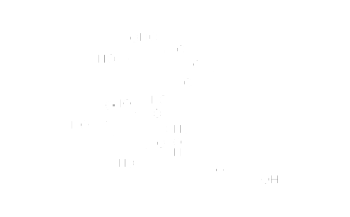 COC(C)C(=CC(=O)O)C(=O)O.COC(C)C(=CC(=O)O)C(=O)O.OCCOCCO